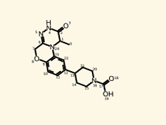 CC1C(=O)NN=C2COc3ccc(C4CCN(C(=O)O)CC4)cc3N21